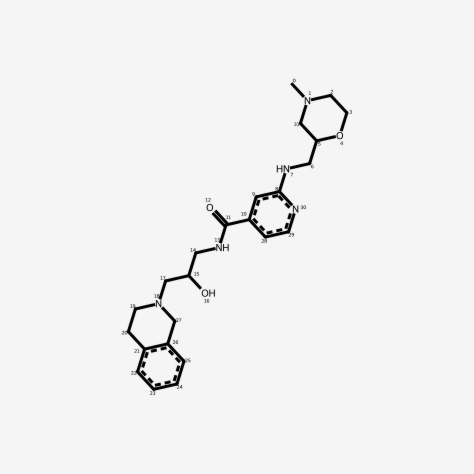 CN1CCOC(CNc2cc(C(=O)NCC(O)CN3CCc4ccccc4C3)ccn2)C1